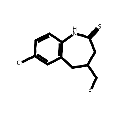 FCC1CC(=S)Nc2ccc(Cl)cc2C1